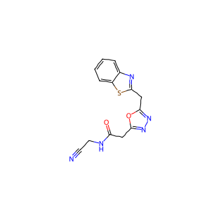 N#CCNC(=O)Cc1nnc(Cc2nc3ccccc3s2)o1